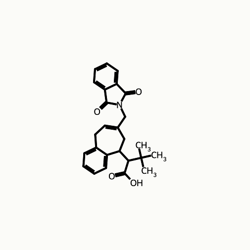 CC(C)(C)C(C(=O)O)C1CC(CN2C(=O)c3ccccc3C2=O)=CCc2ccccc21